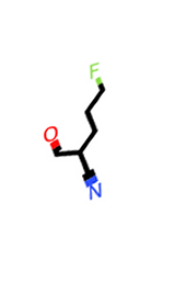 N#CC(C=O)CCCF